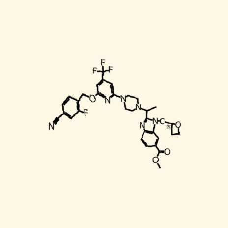 COC(=O)c1ccc2nc(C(C)N3CCN(c4cc(C(F)(F)F)cc(OCc5ccc(C#N)cc5F)n4)CC3)n(C[C@@H]3CCO3)c2c1